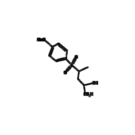 COc1ccc(S(=O)(=O)C(C)CC(O)C(=O)O)cc1